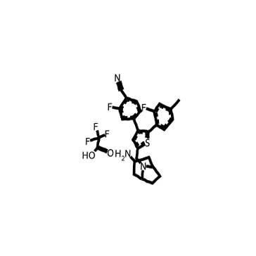 Cc1ccc(-c2sc(CN3C4CCC3CC(N)C4)cc2-c2ccc(C#N)c(F)c2)c(F)c1.O=C(O)C(F)(F)F